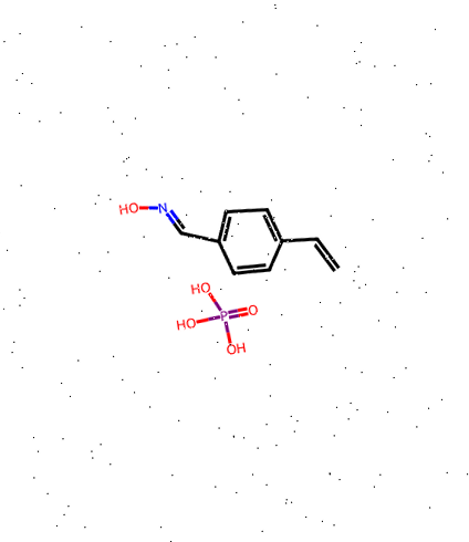 C=Cc1ccc(C=NO)cc1.O=P(O)(O)O